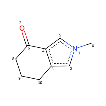 Cn1cc2c(c1)C(=O)CCC2